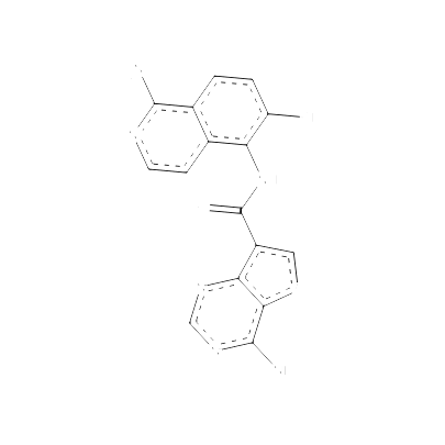 Cc1ccc2c(N)nccc2c1NC(=O)c1csc2c(N)ncnc12